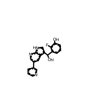 Oc1cccc(C(O)c2c[nH]c3ncc(-c4cccnc4)cc23)c1F